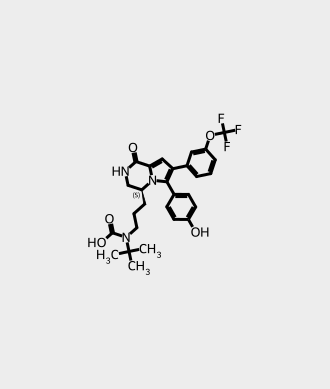 CC(C)(C)N(CCC[C@H]1CNC(=O)c2cc(-c3cccc(OC(F)(F)F)c3)c(-c3ccc(O)cc3)n21)C(=O)O